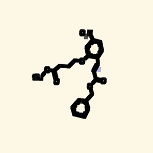 CC(C)(C)OC(=O)CCCOc1cc([N+](=O)[O-])ccc1/C=C/C(=O)OCc1ccccc1